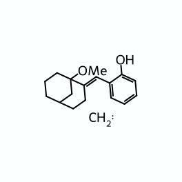 COC12CCCC(CCC1=Cc1ccccc1O)C2.[CH2]